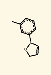 Cc1cc[c]c(N2C=CCO2)c1